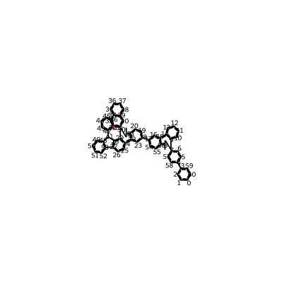 c1ccc(-c2ccc(-n3c4ccccc4c4cc(-c5ccc6c(c5)c5ccc7c(c5n6-c5ccc6ccccc6c5)C(c5ccccc5)c5ccccc5-7)ccc43)cc2)cc1